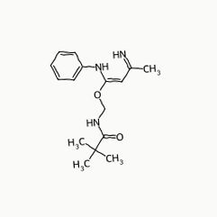 CC(=N)/C=C(\Nc1ccccc1)OCNC(=O)C(C)(C)C